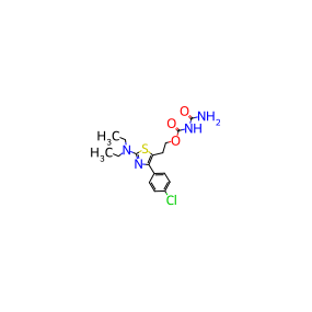 CCN(CC)c1nc(-c2ccc(Cl)cc2)c(CCOC(=O)NC(N)=O)s1